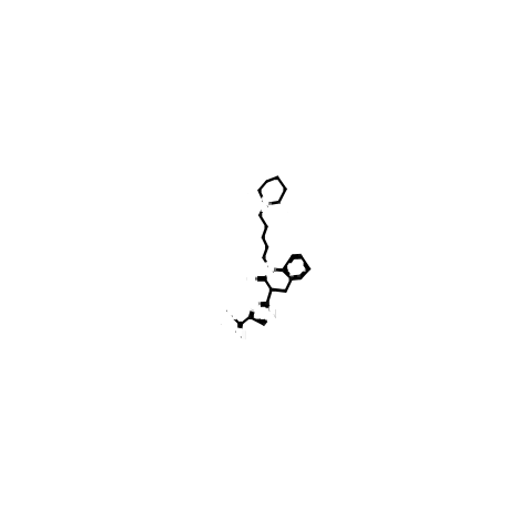 C[C@@H]1CCC[C@H](C)N1CCCCCN1C(=O)C(c2ncc(C(=N)N)o2)Cc2ccccc21